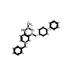 C[S+]([O-])NC1=C(OC[C@H]2CC[C@@H](c3ccccc3)CC2)CN(Cc2ccccc2)C=C1